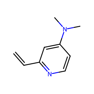 C=Cc1cc(N(C)C)ccn1